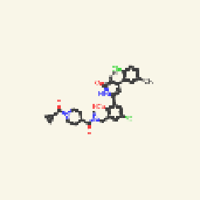 CN(Cc1cc(Cl)cc(-c2cc(-c3cc(C(F)(F)F)ccc3Cl)c(C#N)c(=O)[nH]2)c1O)C(=O)C1CCN(C(=O)C2CC2)CC1